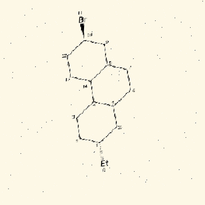 CC[C@@H]1CCC2C(CCC3C[C@H](Br)CCC32)C1